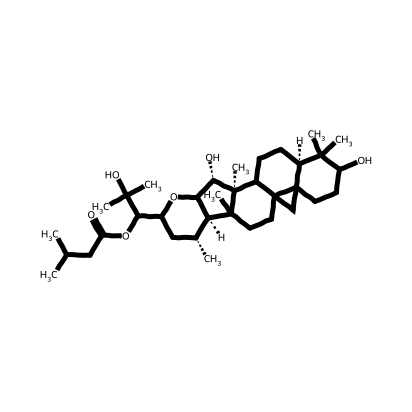 CC(C)CC(=O)OC(C1C[C@@H](C)[C@H]2C(O1)[C@H](O)[C@@]1(C)C3CC[C@H]4C(C)(C)C(O)CCC45CC35CCC21C)C(C)(C)O